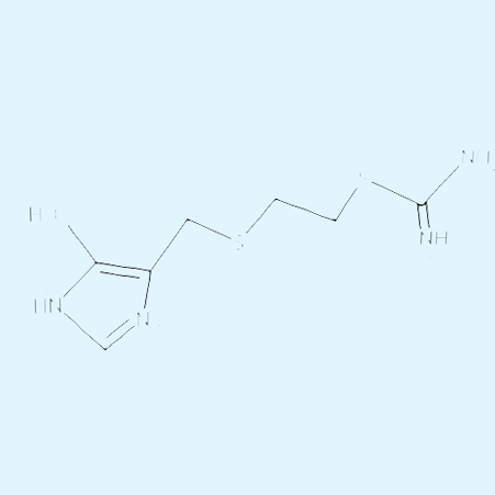 Cc1[nH]cnc1CSCCSC(=N)N